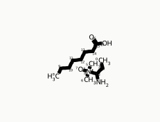 CCC(N)[N+](C)(C)[O-].CCCCCCCC(=O)O